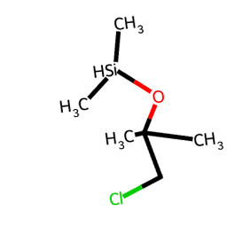 C[SiH](C)OC(C)(C)CCl